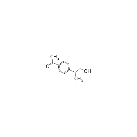 CC(=O)c1ccc(C(C)CO)cc1